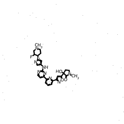 CN1CCC(n2cc(Nc3nccc(-c4cccc(-c5cc(C6(O)CCN(C)C6=O)on5)n4)n3)cn2)C(F)C1